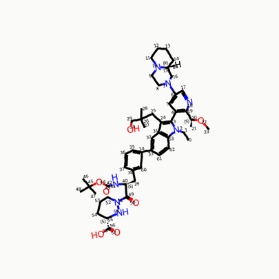 CCn1c(-c2cc(N3CCN4CCCC[C@@H]4C3)cnc2[C@H](C)OC)c(CC(C)(C)CO)c2cc(-c3cccc(C[C@H](NC(=O)OC(C)(C)C)C(=O)N4CCC[C@@H](C(=O)O)N4)c3)ccc21